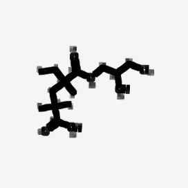 CCC(C)(CC(C)(C)C(=O)O)C(=O)OCC(O)CCl